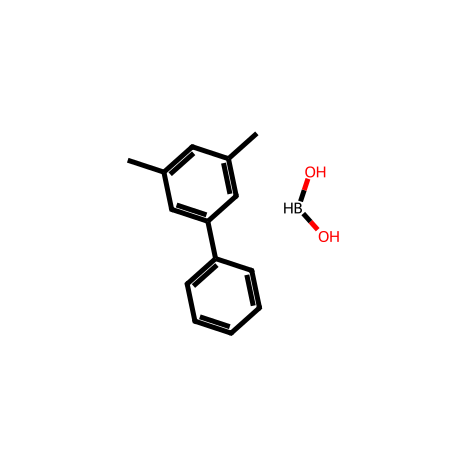 Cc1cc(C)cc(-c2ccccc2)c1.OBO